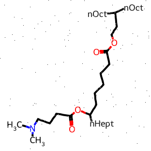 CCCCCCCCC(CCCCCCCC)CCOC(=O)CCCCCC(CCCCCCC)OC(=O)CCCN(C)C